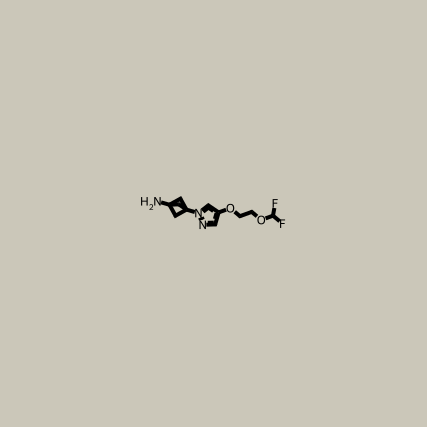 NC12CC(n3cc(OCCOC(F)F)cn3)(C1)C2